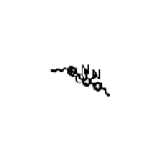 CCCCCC12CCC(COc3ccc(-c4ccc(CCC)cc4)c(C#N)c3C#N)(CC1)CC2